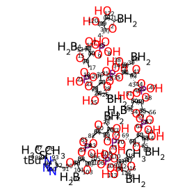 BC1O[C@H](COP(=O)(O)O[C@@H]2[C@H](O)C(B)O[C@@H]2COP(=O)(O)O[C@@H]2[C@H](O)C(B)O[C@@H]2COP(=O)(O)O[C@@H]2[C@H](O)C(B)O[C@@H]2COP(=O)(O)O[C@@H]2[C@H](O)C(B)O[C@@H]2COP(=O)(O)O[C@@H]2[C@H](O)C(B)O[C@@H]2COP(=O)(O)O[C@@H]2[C@H](O)C(B)O[C@@H]2COP(=O)(O)O[C@@H]2[C@H](OCc3cn([Si](C)(C)C(C)(C)C)nn3)C(B)O[C@@H]2COP(=O)(O)O[C@@H]2[C@H](O)C(B)O[C@@H]2C)[C@H](O)[C@@H]1O